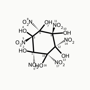 O=[N+]([O-])[C@]1(O)[C@@](O)([N+](=O)[O-])[C@](O)([N+](=O)[O-])[C@@](O)([N+](=O)[O-])[C@](O)([N+](=O)[O-])[C@]1(O)[N+](=O)[O-]